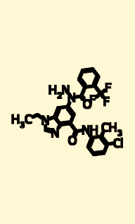 CCn1cnc2c(C(=O)Nc3cccc(Cl)c3C)cc(N(N)C(=O)c3ccccc3C(F)(F)F)cc21